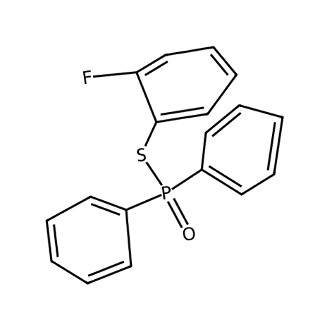 O=P(Sc1ccccc1F)(c1ccccc1)c1ccccc1